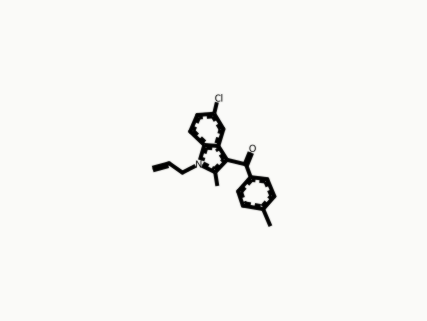 C=CCn1c(C)c(C(=O)c2ccc(C)cc2)c2cc(Cl)ccc21